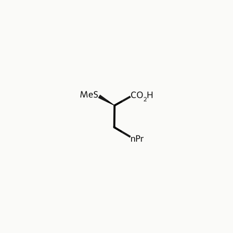 CCCC[C@@H](SC)C(=O)O